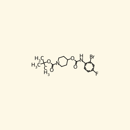 CC(C)(C)OC(=O)N1CCC(OC(=O)Nc2ccc(F)cc2Br)CC1